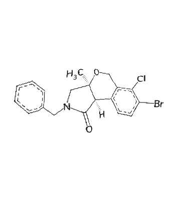 C[C@@]12CN(Cc3ccccc3)C(=O)[C@@H]1c1ccc(Br)c(Cl)c1CO2